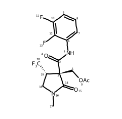 CC(=O)OC[C@@]1(C(=O)Nc2cccc(F)c2F)C(=O)N(C)C[C@@H]1C(F)(F)F